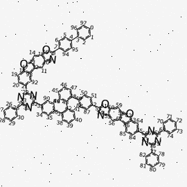 c1ccc(-c2ccc(-c3nc4cc5c(cc4o3)oc3ccc(-c4nc(-c6ccccc6)nc(-c6ccc(-c7ccccc7-c7ccccc7-c7ccc(-c8nc9cc%10c(cc9o8)oc8cc(-c9nc(-c%11ccccc%11)nc(-c%11ccccc%11)n9)ccc8%10)cc7)cc6)n4)cc35)cc2)cc1